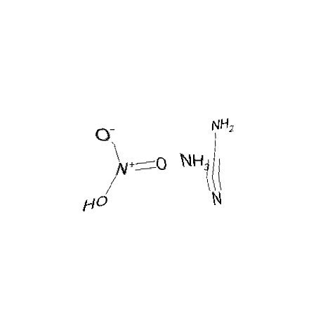 N.N#CN.O=[N+]([O-])O